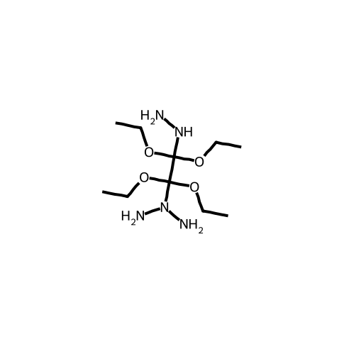 CCOC(NN)(OCC)C(OCC)(OCC)N(N)N